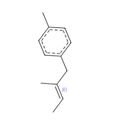 C/C=C(\C)Cc1ccc(C)cc1